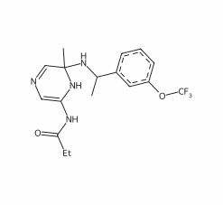 CCC(=O)NC1=CN=CC(C)(NC(C)c2cccc(OC(F)(F)F)c2)N1